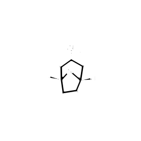 CN1[C@@H]2CC[C@H]1C[C@@H](N)C2